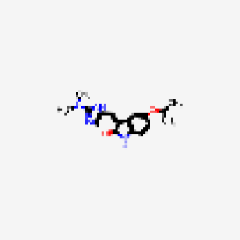 CC(C)Oc1ccc2c(c1)/C(=C/c1cnc(N(C)C)[nH]1)C(=O)N2